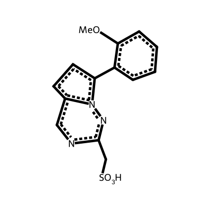 COc1ccccc1-c1ccc2cnc(CS(=O)(=O)O)nn12